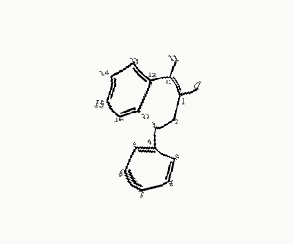 CC(CCc1ccccc1)=C(C)c1ccccc1